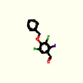 O=Cc1cc(F)c(OCc2ccccc2)c(F)c1I